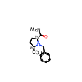 CNC(=O)[C@@H]1CC[C@H](C(=O)O)N1Cc1ccccc1